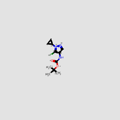 CC(C)(C)OC(=O)Nc1cnn(C2CC2)c1F